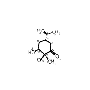 C=C(C)[C@@H]1CC(=O)[C@](C)(Cl)[C@@H](O)C1